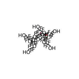 OCC(F)(F)C(F)(F)OC(F)(F)C(CCOCC(C(F)(F)OC(F)(F)C(F)(F)CO)(C(F)(F)OC(F)(F)C(F)(F)CO)C(F)(F)OC(F)(F)C(F)(F)CO)(C(F)(F)OC(F)(F)C(F)(F)CO)C(F)(F)OC(F)(F)C(F)(F)CO